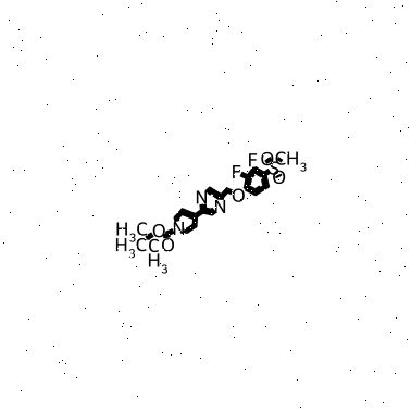 CC(C)(C)OC(=O)N1CC=C(c2cnc(COc3ccc(S(C)(=O)=O)c(F)c3F)cn2)CC1